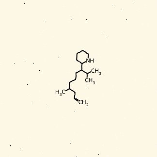 C=CCC(C)CCCC(C(C)C)C1CCCCN1